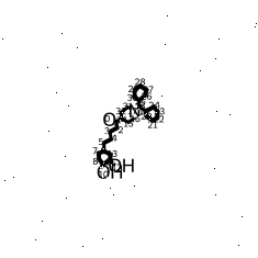 O=C(C=CC=Cc1ccc(O)c(O)c1)C1CCN(C(c2ccccc2)c2ccccc2)CC1